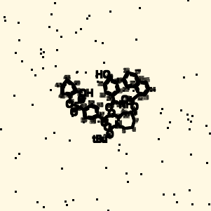 CC(C)(C)OC(=O)N1CCC[C@@H](OC(=O)c2cccc3ccccc23)[C@@H](NC(=O)c2ccc(O)cc2)C1OC(=O)c1ccc(S(=O)(=O)Oc2ccccc2O)cc1